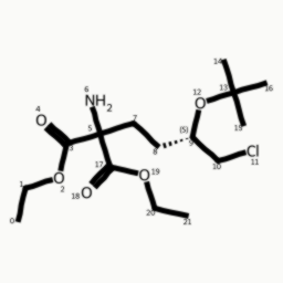 CCOC(=O)C(N)(CC[C@@H](CCl)OC(C)(C)C)C(=O)OCC